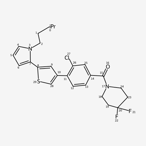 CC(C)CCn1cccc1-c1cc(-c2ccc(C(=O)N3CCC(F)(F)CC3)cc2Cl)cs1